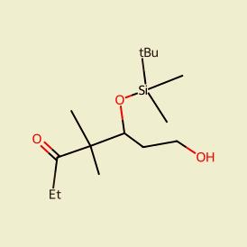 CCC(=O)C(C)(C)C(CCO)O[Si](C)(C)C(C)(C)C